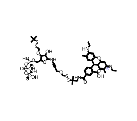 CC/N=C1/C=C2Oc3cc(NCC)c(C)cc3C(c3ccc(C(=O)NCC(C)(C)SSCOCC#CBC4OC(COP(=O)(O)OP(=O)(O)OP(=O)(O)O)C(OCSSC(C)(C)C)C4O)cc3C(=O)O)C2C=C1C